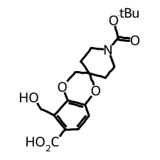 CC(C)(C)OC(=O)N1CCC2(CC1)COc1c(ccc(C(=O)O)c1CO)O2